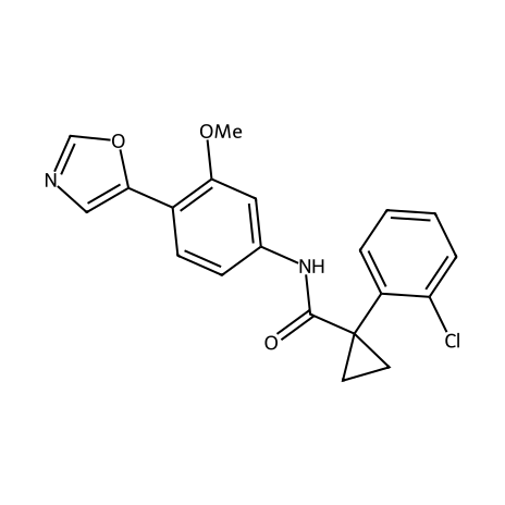 COc1cc(NC(=O)C2(c3ccccc3Cl)CC2)ccc1-c1cnco1